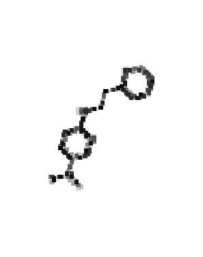 O=[N+]([O-])c1ccc(NCCc2ccccn2)nc1